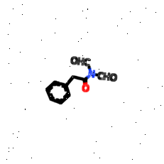 O=CN(C=O)C(=O)Cc1ccccc1